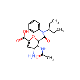 CCC(CC)N(C(=O)[C@@H]1OC(C(=O)O)=CC(N)[C@H]1NC(C)=O)c1ccccc1